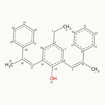 CCc1cc(C=C(C)c2ccccc2)c(O)c(C=C(C)c2ccccc2)c1